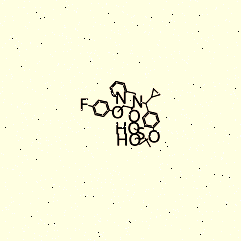 CC1(C)Oc2ccc(C(C3CC3)N(Cc3ccccn3)C(=O)COc3ccc(F)cc3)cc2S1(O)O